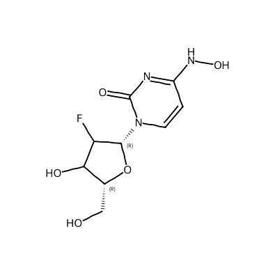 O=c1nc(NO)ccn1[C@@H]1O[C@H](CO)C(O)C1F